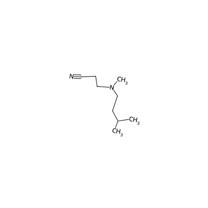 CC(C)CCN(C)CCC#N